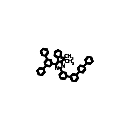 C[Si]1(C)c2ccccc2-c2c(-c3cc(-c4ccccc4)cc(-c4ccccc4)c3)nc(-c3cccc(-c4cccc(-c5ccc(-c6ccccc6)cc5)c4)c3)nc21